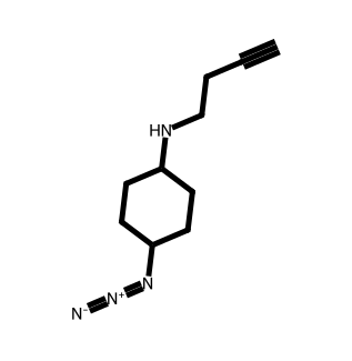 C#CCCNC1CCC(N=[N+]=[N-])CC1